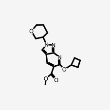 COC(=O)c1cc2cn(C3CCCOC3)nc2nc1OC1CCC1